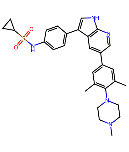 Cc1cc(-c2cnc3[nH]cc(-c4ccc(NS(=O)(=O)C5CC5)cc4)c3c2)cc(C)c1N1CCN(C)CC1